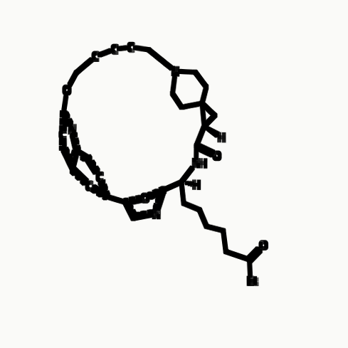 CCC(=O)CCCCC[C@@H]1NC(=O)[C@H]2CC23CCN(CCCCCOc2ccc4cc(ccc4n2)-c2cnc1o2)CC3